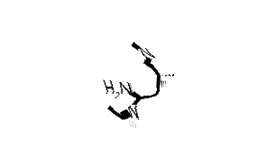 C=NC[C@H](C)CC(N)/N=C\C